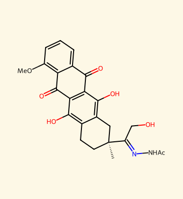 COc1cccc2c1C(=O)c1c(O)c3c(c(O)c1C2=O)C[C@@](C)(/C(CO)=N/NC(C)=O)CC3